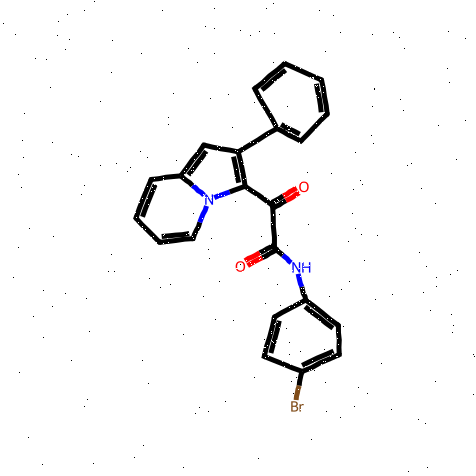 O=C(Nc1ccc(Br)cc1)C(=O)c1c(-c2ccccc2)cc2ccccn12